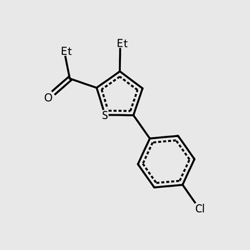 CCC(=O)c1sc(-c2ccc(Cl)cc2)cc1CC